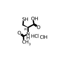 CC(=O)N[C@@H](CS)C(=O)O.Cl.Cl